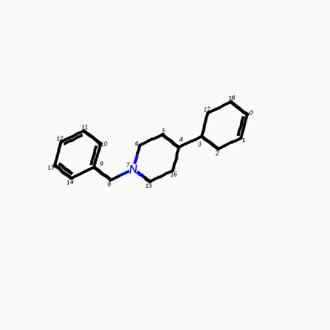 C1=CCC(C2CCN(Cc3ccccc3)CC2)CC1